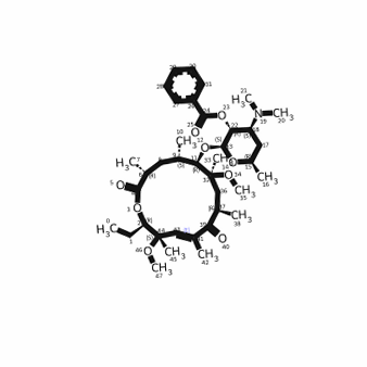 CC[C@H]1OC(=O)[C@H](C)C[C@H](C)[C@@H](O[C@@H]2O[C@H](C)C[C@H](N(C)C)[C@H]2OC(=O)c2ccccc2)[C@@](C)(OC)C[C@@H](C)C(=O)/C(C)=C/[C@]1(C)OC